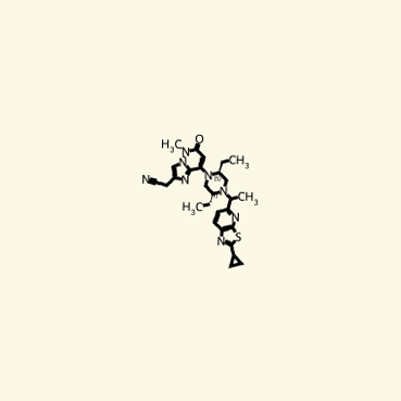 CC[C@H]1CN(C(C)c2ccc3nc(C4CC4)sc3n2)[C@H](CC)CN1c1cc(=O)n(C)n2cc(CC#N)nc12